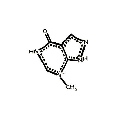 C[n+]1c[nH]c(=O)c2cn[nH]c21